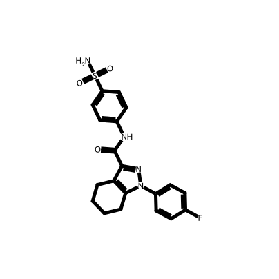 NS(=O)(=O)c1ccc(NC(=O)c2nn(-c3ccc(F)cc3)c3c2CCCC3)cc1